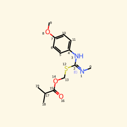 C/N=C(\Nc1ccc(OC)cc1)SCOC(=O)C(C)C